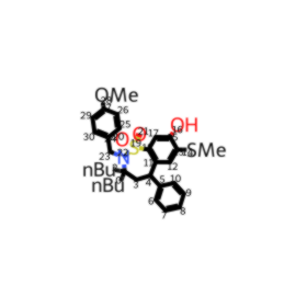 CCCCC1(CCCC)CC(c2ccccc2)c2cc(SC)c(O)cc2S(=O)(=O)N1Cc1ccc(OC)cc1